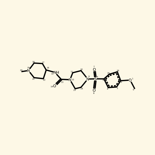 COc1ccc(S(=O)(=O)N2CCN(C(=O)NC3CCN(C)CC3)CC2)cc1